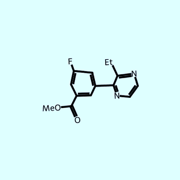 CCc1nccnc1-c1cc(F)cc(C(=O)OC)c1